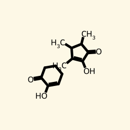 CC1=C(O)C(=O)C(C)C1C.O=C1CCCC=C1O